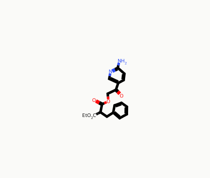 CCOC(=O)C(Cc1ccccc1)C(=O)OCC(=O)c1ccc(N)nc1